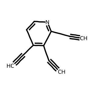 C#Cc1ccnc(C#C)c1C#C